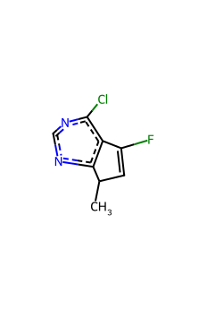 CC1C=C(F)c2c(Cl)ncnc21